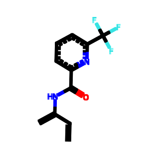 C=CC(=C)NC(=O)c1cccc(C(F)(F)F)n1